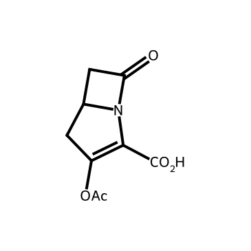 CC(=O)OC1=C(C(=O)O)N2C(=O)CC2C1